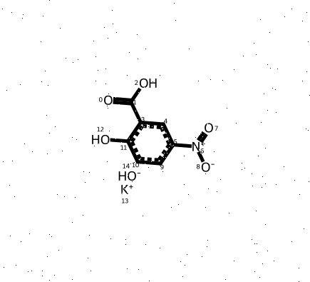 O=C(O)c1cc([N+](=O)[O-])ccc1O.[K+].[OH-]